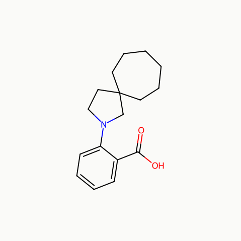 O=C(O)c1ccccc1N1CCC2(CCCCCC2)C1